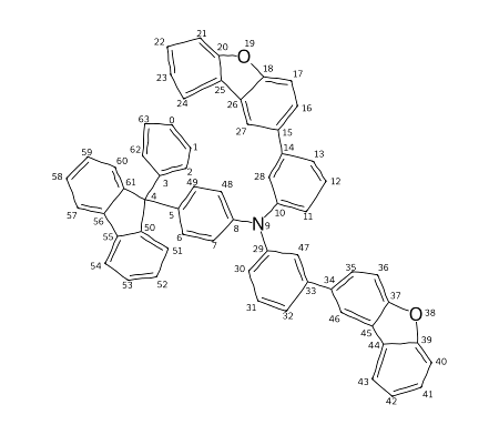 c1ccc(C2(c3ccc(N(c4cccc(-c5ccc6oc7ccccc7c6c5)c4)c4cccc(-c5ccc6oc7ccccc7c6c5)c4)cc3)c3ccccc3-c3ccccc32)cc1